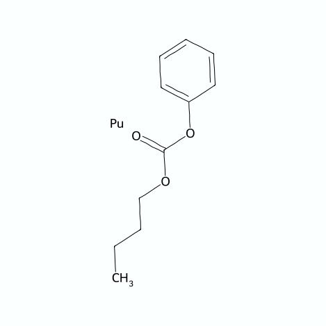 CCCCOC(=O)Oc1ccccc1.[Pu]